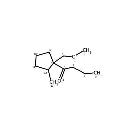 CCCC(=O)C1(COC)CCCC1C